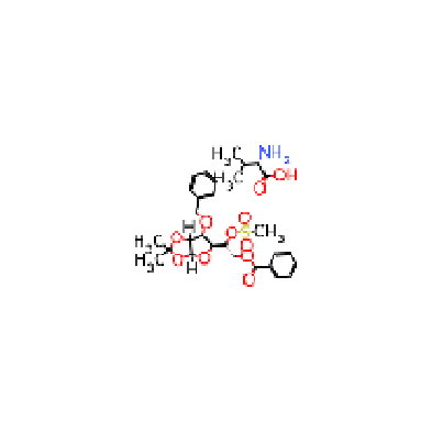 CC(C)[C@H](N)C(=O)O.CC1(C)O[C@H]2O[C@H]([C@@H](COC(=O)c3ccccc3)OS(C)(=O)=O)[C@H](OCc3ccccc3)[C@H]2O1